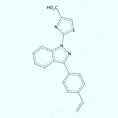 C=Cc1ccc(-c2nn(-c3nc(C(=O)O)cs3)c3ccccc23)cc1